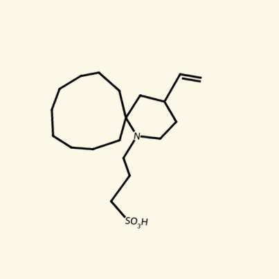 C=CC1CCN(CCCS(=O)(=O)O)C2(CCCCCCCCC2)C1